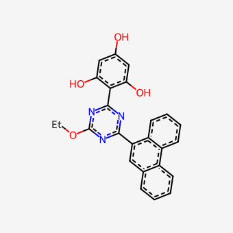 CCOc1nc(-c2c(O)cc(O)cc2O)nc(-c2cc3ccccc3c3ccccc23)n1